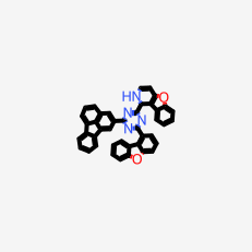 C1=Cc2oc3ccccc3c2C(c2nc(-c3cc4c5c(cccc5c3)-c3ccccc3-4)nc(-c3cccc4oc5ccccc5c34)n2)N1